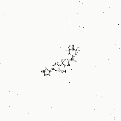 CN(c1cnc(-c2ncc(-c3cn[nH]c3)cc2O)nn1)C1CC(C)(C)NC(C)(C)C1